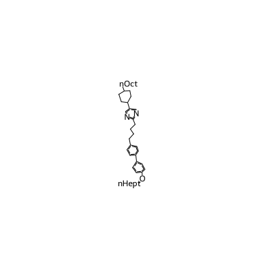 CCCCCCCCC1CCC(c2cnc(CCCCc3ccc(-c4ccc(OCCCCCCC)cc4)cc3)nc2)CC1